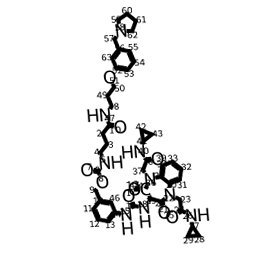 O=C(CCCNC(=O)OCc1cccc(NC(=O)NC2C(=O)N(CC(=O)NC3CC3)c3ccccc3N(CC(=O)NC3CC3)[12C]2=O)c1)NCCCOc1cccc(CN2CCCC2)c1